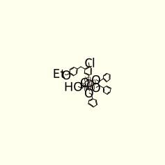 CCOc1ccc(Cc2cc([C@@H]3O[C@H](CO)[C@@H](OCc4ccccc4)[C@@H](OCc4ccccc4)[C@H]3OCc3ccccc3)ccc2Cl)cc1